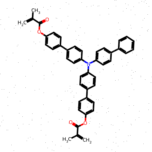 C=C(C)C(=O)Oc1ccc(-c2ccc(N(c3ccc(-c4ccccc4)cc3)c3ccc(-c4ccc(OC(=O)C(=C)C)cc4)cc3)cc2)cc1